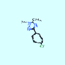 CC(=O)n1nc(-c2ccc(Cl)cc2)nc1C